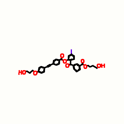 O=C(OCCCCO)c1cccc(C(=O)c2ccc(I)cc2OC(=O)c2ccc(C#Cc3ccc(OCCCO)cc3)cc2)c1